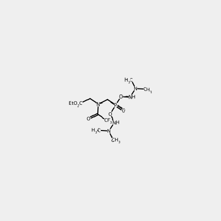 CCOC(=O)CN(CP(=O)(ONN(C)C)ONN(C)C)C(=O)C(F)(F)F